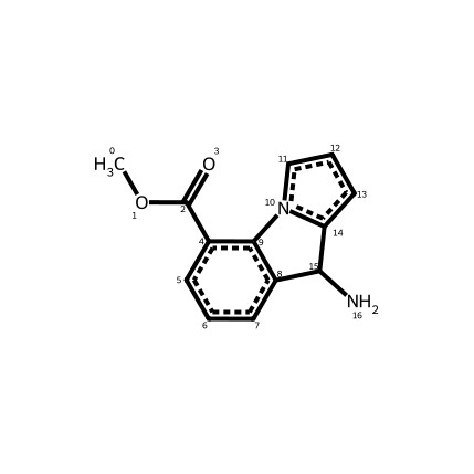 COC(=O)c1cccc2c1-n1cccc1C2N